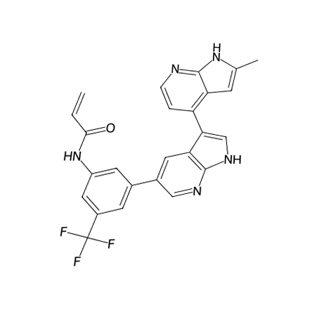 C=CC(=O)Nc1cc(-c2cnc3[nH]cc(-c4ccnc5[nH]c(C)cc45)c3c2)cc(C(F)(F)F)c1